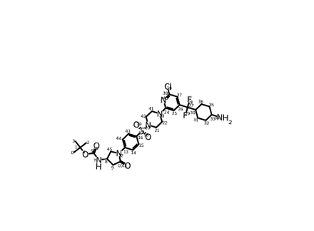 CC(C)(C)OC(=O)N[C@@H]1CC(=O)N(c2ccc(S(=O)(=O)N3CCN(c4cc(C(F)(F)C5CCC(N)CC5)cc(Cl)n4)CC3)cc2)C1